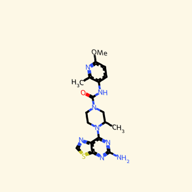 COc1ccc(NC(=O)N2CCN(c3nc(N)nc4scnc34)C(C)C2)c(C)n1